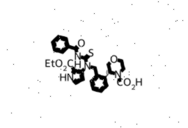 CCOC(=O)c1[nH]ccc1N(Cc1ccccc1[C@@H]1COCCN1C(=O)O)C(=S)NC(=O)c1ccccc1